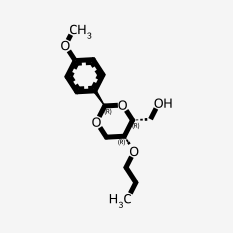 CCCO[C@@H]1CO[C@@H](c2ccc(OC)cc2)O[C@@H]1CO